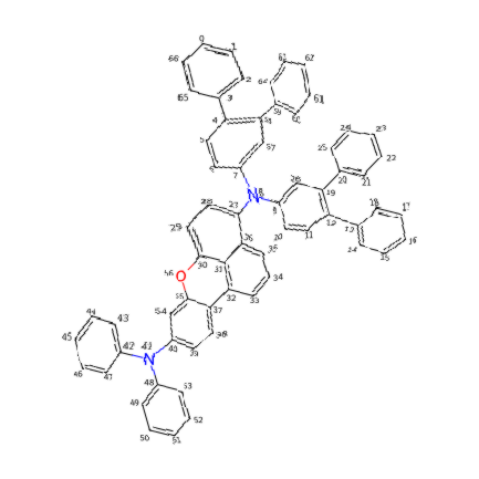 c1ccc(-c2ccc(N(c3ccc(-c4ccccc4)c(-c4ccccc4)c3)c3ccc4c5c(cccc35)-c3ccc(N(c5ccccc5)c5ccccc5)cc3O4)cc2-c2ccccc2)cc1